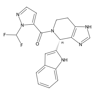 O=C(c1ccnn1C(F)F)N1CCc2[nH]cnc2[C@@H]1c1cc2ccccc2[nH]1